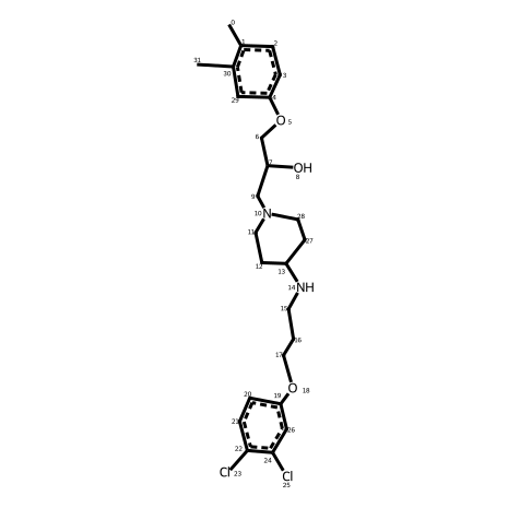 Cc1ccc(OCC(O)CN2CCC(NCCCOc3ccc(Cl)c(Cl)c3)CC2)cc1C